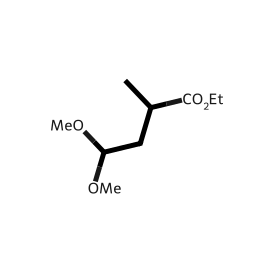 CCOC(=O)C(C)CC(OC)OC